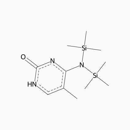 Cc1c[nH]c(=O)nc1N([Si](C)(C)C)[Si](C)(C)C